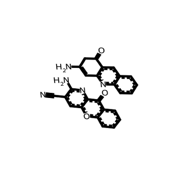 N#Cc1cc2oc3ccccc3c(=O)c2nc1N.NC1=Cc2nc3ccccc3cc2C(=O)C1